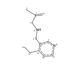 C=C(C)CNSc1cnccc1CC